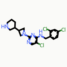 Clc1ccc(CNc2nc(N3CC(C4CCCNC4)C3)ncc2Cl)c(Cl)c1